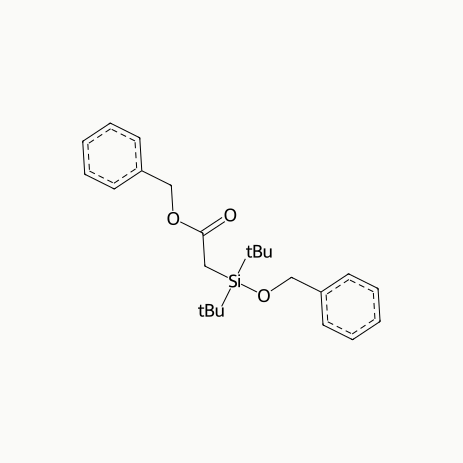 CC(C)(C)[Si](CC(=O)OCc1ccccc1)(OCc1ccccc1)C(C)(C)C